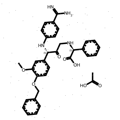 CC(=O)O.COc1cc([C@H](Nc2ccc(C(=N)N)cc2)C(=O)CN[C@H](C(=O)O)c2ccccc2)ccc1OCc1ccccc1